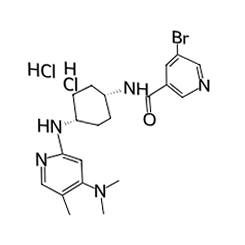 Cc1cnc(N[C@H]2CC[C@@H](NC(=O)c3cncc(Br)c3)CC2)cc1N(C)C.Cl.Cl